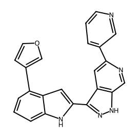 c1cncc(-c2cc3c(-c4cc5c(-c6ccoc6)cccc5[nH]4)n[nH]c3cn2)c1